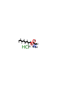 CCCCCCCCOC(=O)C(C)N(C)C.Cl